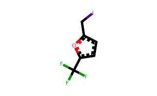 FC(F)(F)c1ccc(CI)o1